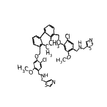 COc1cc(OCc2cccc(-c3cccc(COc4cc(OC)c(CNCc5cncs5)cc4Cl)c3C)c2C)c(Cl)cc1CNCc1cncs1